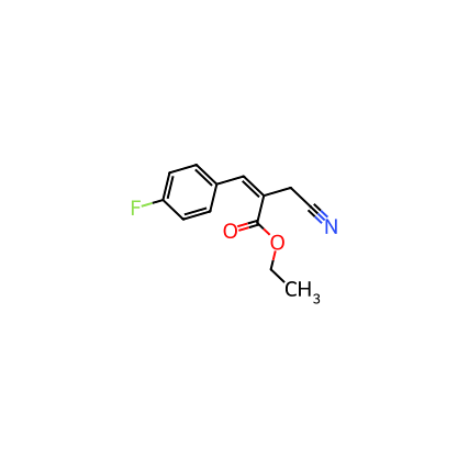 CCOC(=O)C(=Cc1ccc(F)cc1)CC#N